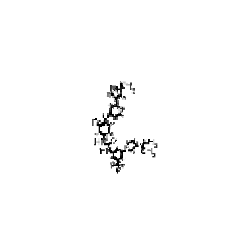 CN(C)C1CCN(c2cc(NC(=O)Nc3ccc(Oc4ccnc(-c5cnn(C)c5)c4)c(F)c3)cc(C(F)(F)F)c2)C1